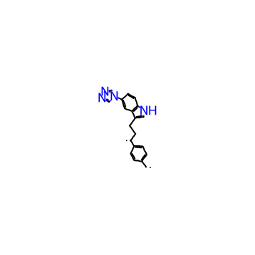 [CH2]c1ccc([CH]CCc2c[nH]c3ccc(-n4cnnc4)cc23)cc1